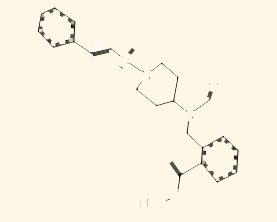 COC(=O)c1ccccc1CN(C=O)C1CCN(S(=O)(=O)/C=C/c2ccccc2)CC1